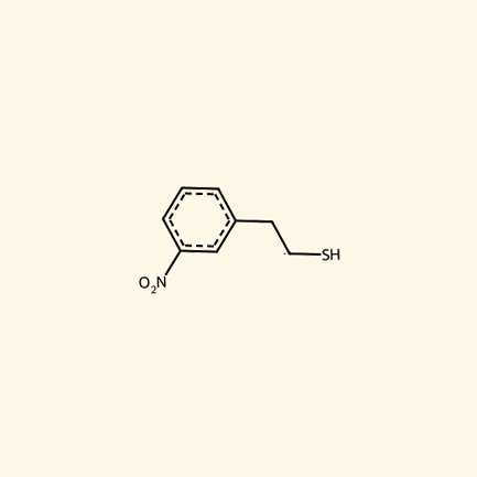 O=[N+]([O-])c1cccc(C[CH]S)c1